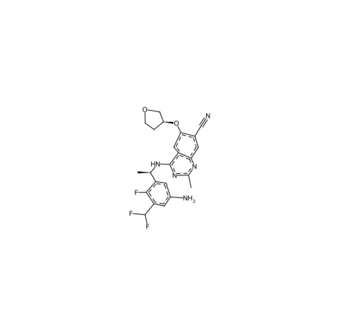 Cc1nc(N[C@H](C)c2cc(N)cc(C(F)F)c2F)c2cc(O[C@H]3CCOC3)c(C#N)cc2n1